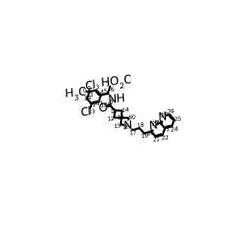 CC1(Cl)C=C(C(CC(=O)O)NC(=O)C2CC3(C2)CN(CCCc2ccc4cccnc4n2)C3)C=C(Cl)C1